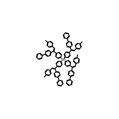 Cc1ccc(C=C(c2ccc(-c3ccccc3)cc2)c2cc[c]([Sn]([c]3ccc(C(=Cc4ccc(C)cc4)c4ccc(-c5ccccc5)cc4)cc3)([c]3ccc(C(=Cc4ccc(C)cc4)c4ccc(-c5ccccc5)cc4)cc3)[c]3ccc(C(=Cc4ccc(C)cc4)c4ccc(-c5ccccc5)cc4)cc3)cc2)cc1